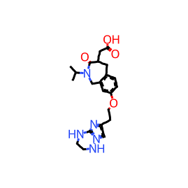 CC(C)N1Cc2cc(OCCc3cn4c(n3)NCCN4)ccc2CC(CC(=O)O)C1=O